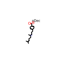 CCCCCCCCCCOC(=O)C1=CCC(CC/C=C(\C)CCC=C(C)C)=CC1